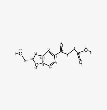 COC(=O)CCC(=O)c1ccc2c(c1)CC(CO)O2